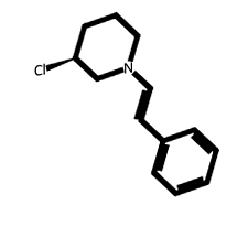 Cl[C@H]1CCCN(C=Cc2ccccc2)C1